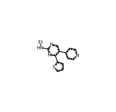 CCNc1ncc(-c2ccncc2)c(-c2cccs2)n1